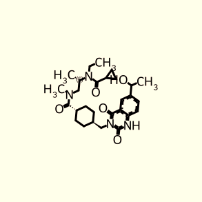 CCN(C(=O)C1CC1)[C@@H](C)CN(C)C(=O)[C@H]1CC[C@H](Cn2c(=O)[nH]c3ccc(C(C)O)cc3c2=O)CC1